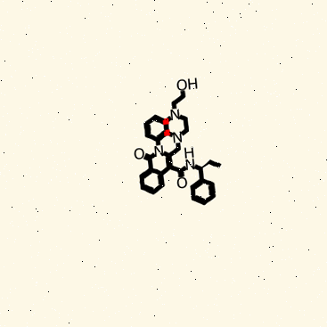 CC[C@H](NC(=O)c1c(CN2CCN(CCO)CC2)n(-c2ccccc2)c(=O)c2ccccc12)c1ccccc1